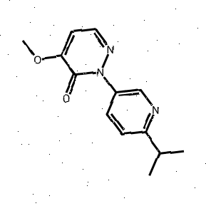 COc1ccnn(-c2ccc(C(C)C)nc2)c1=O